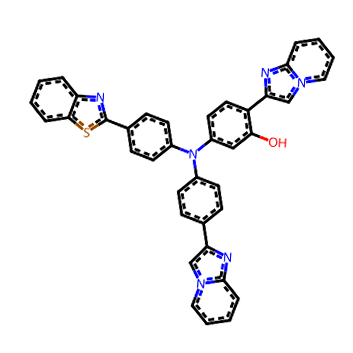 Oc1cc(N(c2ccc(-c3cn4ccccc4n3)cc2)c2ccc(-c3nc4ccccc4s3)cc2)ccc1-c1cn2ccccc2n1